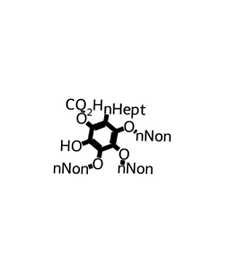 CCCCCCCCCOc1c(O)c(OC(=O)O)c(CCCCCCC)c(OCCCCCCCCC)c1OCCCCCCCCC